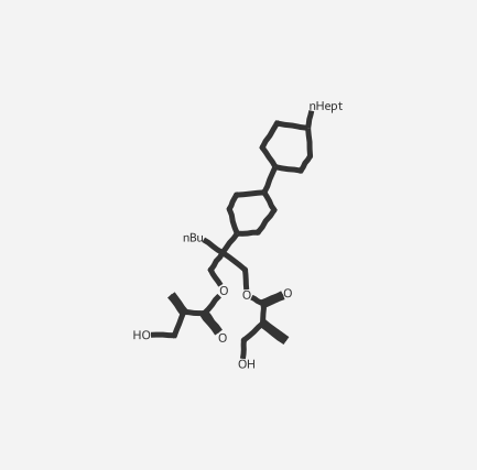 C=C(CO)C(=O)OCC(CCCC)(COC(=O)C(=C)CO)C1CCC(C2CCC(CCCCCCC)CC2)CC1